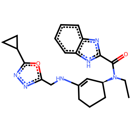 CCN(C(=O)c1nc2ccccc2[nH]1)[C@@H]1C=C(NCc2nnc(C3CC3)o2)CCC1